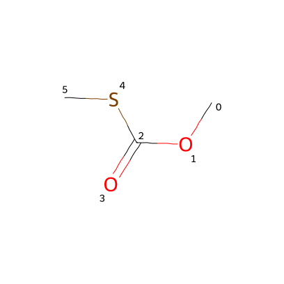 COC(=O)SC